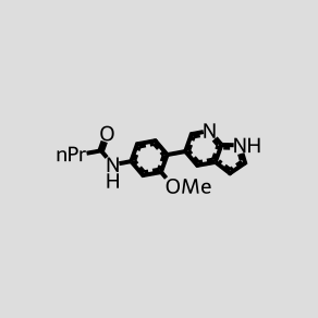 CCCC(=O)Nc1ccc(-c2cnc3[nH]ccc3c2)c(OC)c1